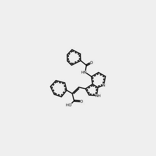 O=C(O)C(=Cc1c[nH]c2nccc(NC(=O)c3ccccc3)c12)c1ccccc1